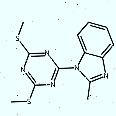 CSc1nc(SC)nc(-n2c(C)nc3ccccc32)n1